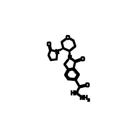 NNC(=O)c1ccc2c(c1)C(=O)N([C@@H]1CCOC[C@H]1N1CCCC1=O)C2